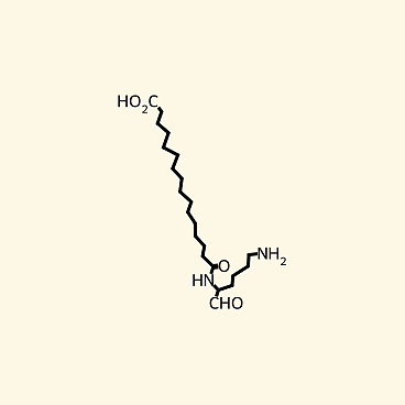 NCCCCC(C=O)NC(=O)CCCCCCCCCCCCCCC(=O)O